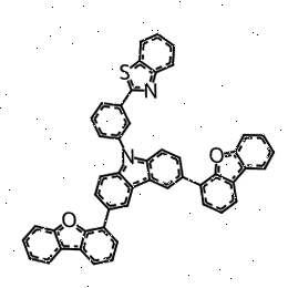 c1cc(-c2nc3ccccc3s2)cc(-n2c3ccc(-c4cccc5c4oc4ccccc45)cc3c3cc(-c4cccc5c4oc4ccccc45)ccc32)c1